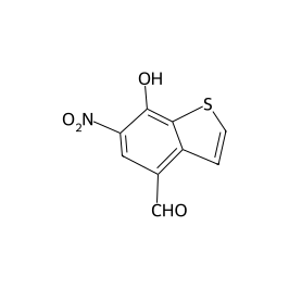 O=Cc1cc([N+](=O)[O-])c(O)c2sccc12